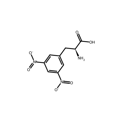 N[C@@H](Cc1cc([N+](=O)[O-])cc([N+](=O)[O-])c1)C(=O)O